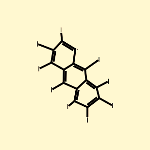 Ic1[c]c2c(I)c3c(I)c(I)c(I)c(I)c3c(I)c2c(I)c1I